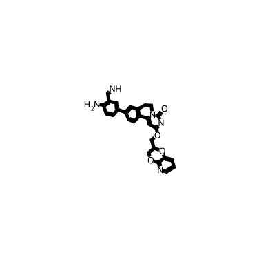 N=Cc1cc(-c2ccc3c(c2)CCn2c-3cc(OCC3COc4ncccc4O3)nc2=O)ccc1N